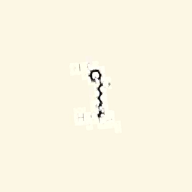 CC(C)=NOCCCCC(=O)N1CCC(C)CC1